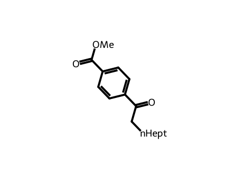 CCCCCCCCC(=O)c1ccc(C(=O)OC)cc1